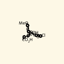 COc1ccc(COc2ccc(C(=O)N3CC[C@@H](c4cccc(C(=O)O)c4)C3)c(OC[C@@H](O)CN3CCC4(CC3)Cc3cc(Cl)ccc3O4)c2)cc1